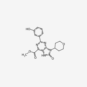 COC(=O)c1nc(-c2cccc(O)c2)nc2c1[nH]c(=O)n2C1CCOCC1